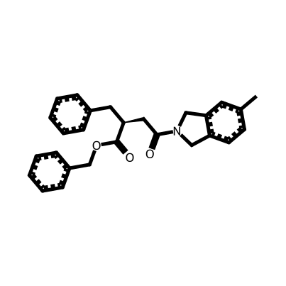 Cc1ccc2c(c1)CN(C(=O)C[C@H](Cc1ccccc1)C(=O)OCc1ccccc1)C2